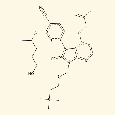 C=C(C)COc1ccnc2c1n(-c1ccc(C#N)c(OC(C)CCCO)n1)c(=O)n2COCC[Si](C)(C)C